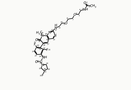 CC(=O)NCCOCCOCCNc1ncc2cc(-c3c(F)ccc(N[S+]([O-])N4CC[C@@H](F)C4)c3F)c(=O)n(C)c2n1